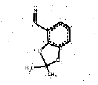 CC1(C)Oc2cccc(N=[N])c2O1